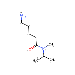 CC(C)N(C)C(=O)CCCCN